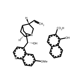 C=C[C@@H]1CN2CCC1C[C@@H]2[C@H](O)c1ccnc2ccc(OC)cc12.O=C(O)c1ccc2ccccc2c1O